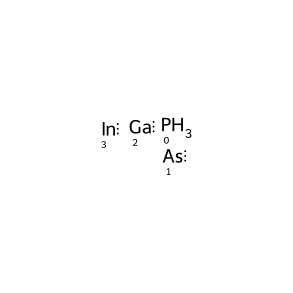 P.[As].[Ga].[In]